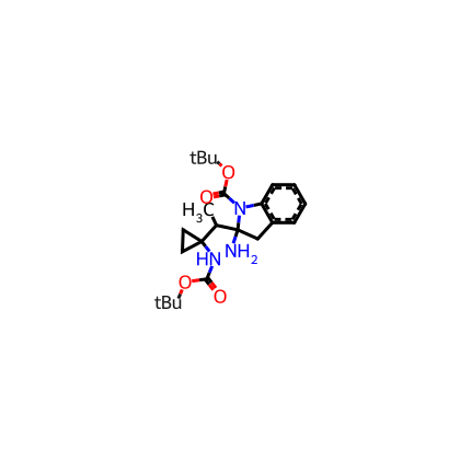 CC(C1(NC(=O)OC(C)(C)C)CC1)C1(N)Cc2ccccc2N1C(=O)OC(C)(C)C